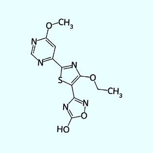 CCOc1nc(-c2cc(OC)ncn2)sc1-c1noc(O)n1